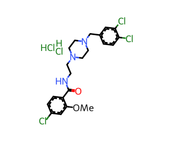 COc1cc(Cl)ccc1C(=O)NCCN1CCN(Cc2ccc(Cl)c(Cl)c2)CC1.Cl.Cl